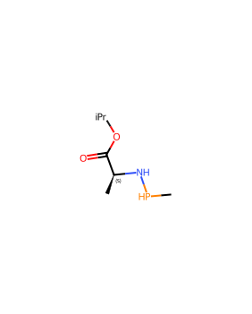 CPN[C@@H](C)C(=O)OC(C)C